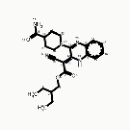 CCC(CC)COC(=O)/C(C#N)=C1\Nc2ccccc2N=C1N1CCC(C(N)=O)CC1